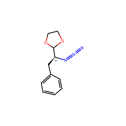 [N-]=[N+]=N[C@@H](Cc1ccccc1)C1OCCO1